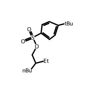 CCCCC(CC)COS(=O)(=O)c1ccc(C(C)(C)C)cc1